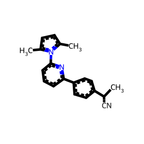 Cc1ccc(C)n1-c1cccc(-c2ccc(C(C)C#N)cc2)n1